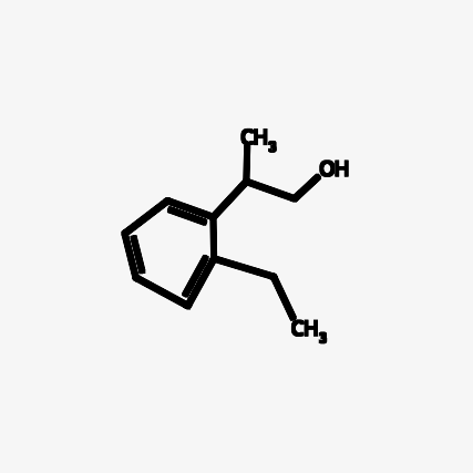 CCc1ccccc1C(C)CO